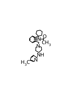 CC(=O)NC1(c2ccccc2CN2CCC(Nc3ccc(C)cn3)CC2)CCCCC1